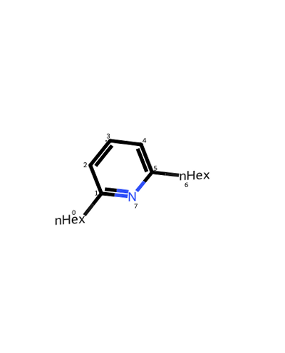 CCCCCCc1c[c]cc(CCCCCC)n1